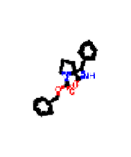 O=C(OCc1ccccc1)N1CCCC12C(=O)NC2c1ccccc1